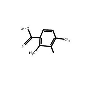 COC(=O)c1ccc(C(F)(F)F)c(I)c1C